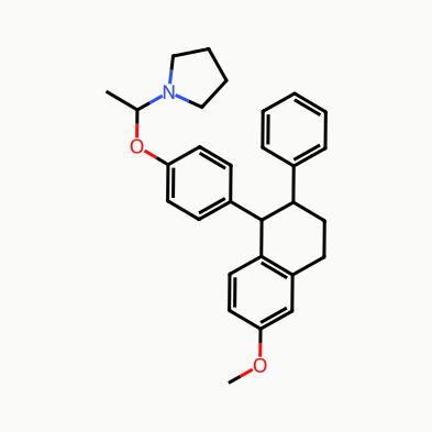 COc1ccc2c(c1)CCC(c1ccccc1)C2c1ccc(OC(C)N2CCCC2)cc1